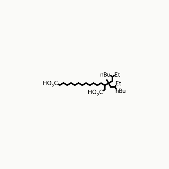 CCCCC(CC)CC(C)(CC(CC)CCCC)C(CCCCCCCCCCCCC(=O)O)CC(=O)O